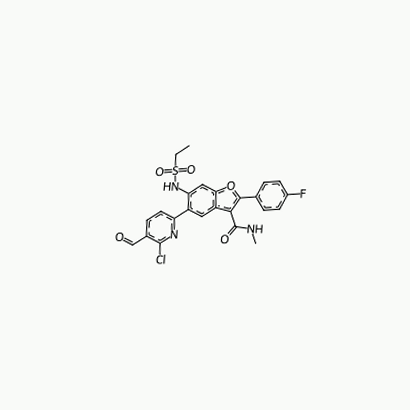 CCS(=O)(=O)Nc1cc2oc(-c3ccc(F)cc3)c(C(=O)NC)c2cc1-c1ccc(C=O)c(Cl)n1